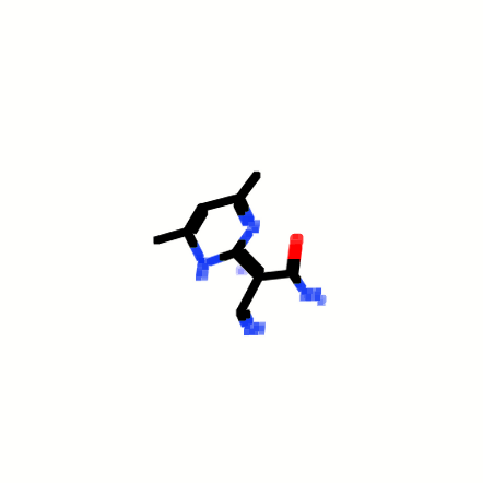 CC1=CC(C)=N/C(=C(/C=N)C(N)=O)N1